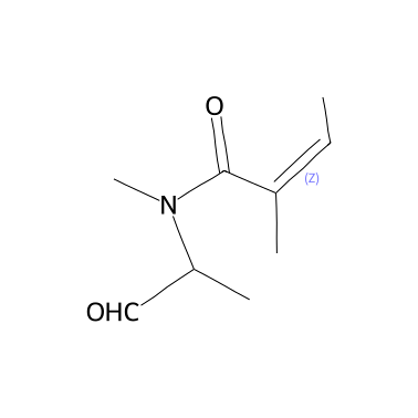 C/C=C(/C)C(=O)N(C)C(C)C=O